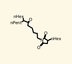 CCCCCCC(CCCCC)C(=O)CCCCCN1C(=O)CC(CCCCCC)C1=O